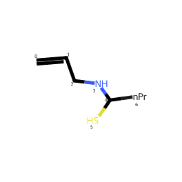 C=CCNC(S)CCC